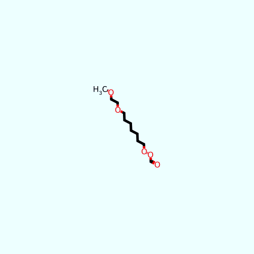 COCCOCCCCCCCOOC=O